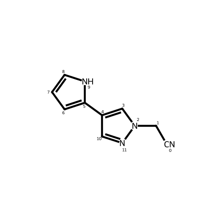 N#CCn1cc(-c2ccc[nH]2)cn1